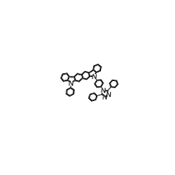 c1ccc(-c2nnc(-c3ccccc3)n2-c2ccc(-n3c4ccccc4c4cc5cc6c7ccccc7n(-c7ccccc7)c6cc5cc43)cc2)cc1